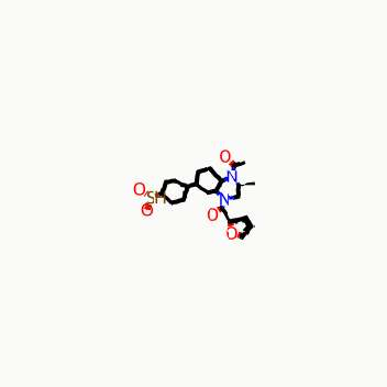 CC(=O)N1C2CCC(C3CCC([SH](=O)=O)CC3)CC2N(C(=O)c2ccco2)C[C@@H]1C